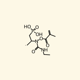 [CH2]C(CP(=O)(O)O)N(OC(=O)C(=C)C)C(=O)NCC